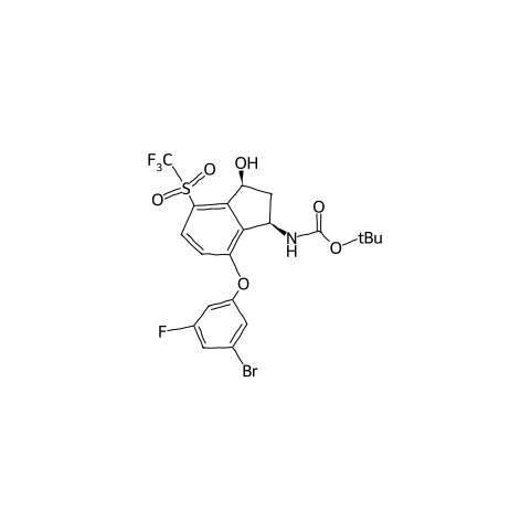 CC(C)(C)OC(=O)N[C@@H]1C[C@H](O)c2c(S(=O)(=O)C(F)(F)F)ccc(Oc3cc(F)cc(Br)c3)c21